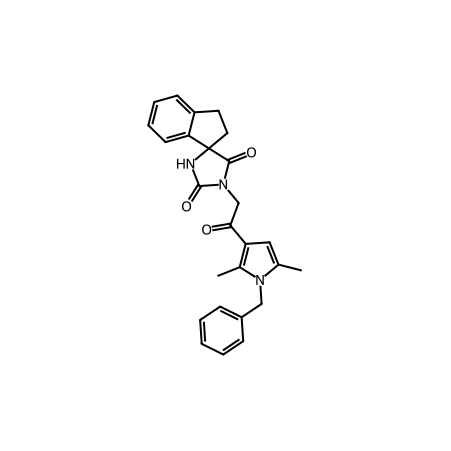 Cc1cc(C(=O)CN2C(=O)NC3(CCc4ccccc43)C2=O)c(C)n1Cc1ccccc1